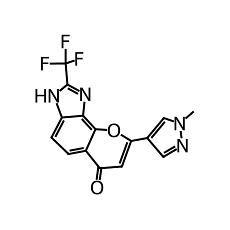 Cn1cc(-c2cc(=O)c3ccc4[nH]c(C(F)(F)F)nc4c3o2)cn1